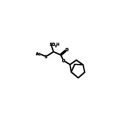 CC(=O)SC(C(=O)OC1CC2CCC1C2)S(=O)(=O)O